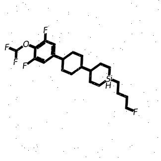 FCCCC[SiH]1CCC(C2CCC(c3cc(F)c(OC(F)F)c(F)c3)CC2)CC1